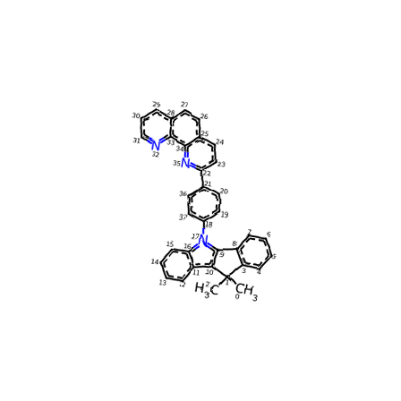 CC1(C)c2ccccc2-c2c1c1ccccc1n2-c1ccc(-c2ccc3ccc4cccnc4c3n2)cc1